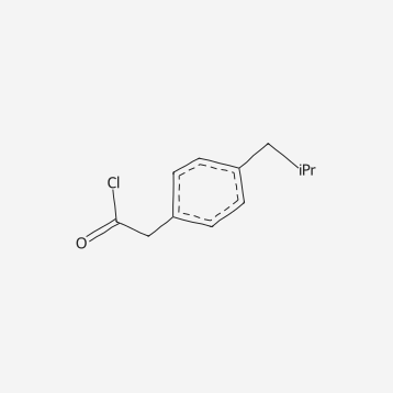 CC(C)Cc1ccc(CC(=O)Cl)cc1